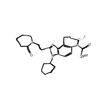 COC(=O)N1c2ccc3c(nc(CCN4CCCCC4=O)n3C3CCCCC3)c2CC[C@@H]1C